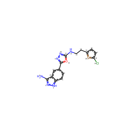 Nc1n[nH]c2ccc(-c3nnc(NCCc4ccc(Cl)s4)o3)cc12